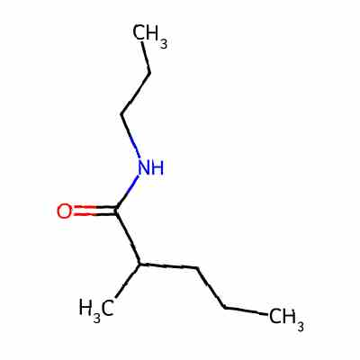 CCCNC(=O)C(C)CCC